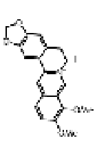 COc1ccc2cc3[n+](cc2c1OC)CCc1cc2c(cc1-3)OCO2.[I-]